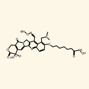 CC[C@@]1(O)C(=O)OCc2c1cc1n(c2=O)Cc2c-1nc1ccc(OCCCCCCC(=O)NO)c(CN(C)C)c1c2/C=N\OC(C)(C)C